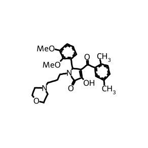 COc1cccc(C2C(C(=O)c3cc(C)ccc3C)=C(O)C(=O)N2CCCN2CCOCC2)c1OC